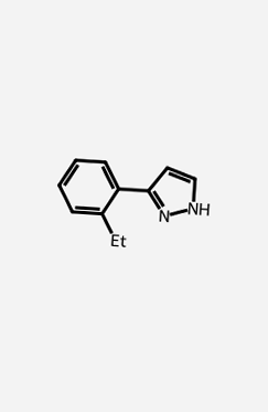 CCc1ccccc1-c1cc[nH]n1